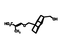 CC(=COCC12C3C4C1C1C2C3C41CO)C(=O)O